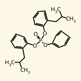 CC(C)Cc1ccccc1OP(=O)(Oc1ccccc1)Oc1ccccc1CC(C)C